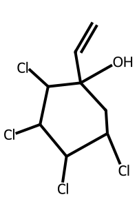 C=CC1(O)CC(Cl)C(Cl)C(Cl)C1Cl